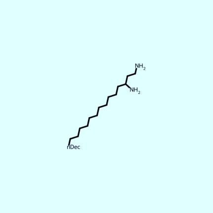 CCCCCCCCCCCCCCCCCCCCCC(N)CCN